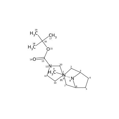 CN1CC2CCC(C1)N2[C@@H]1CCN(C(=O)OC(C)(C)C)C1